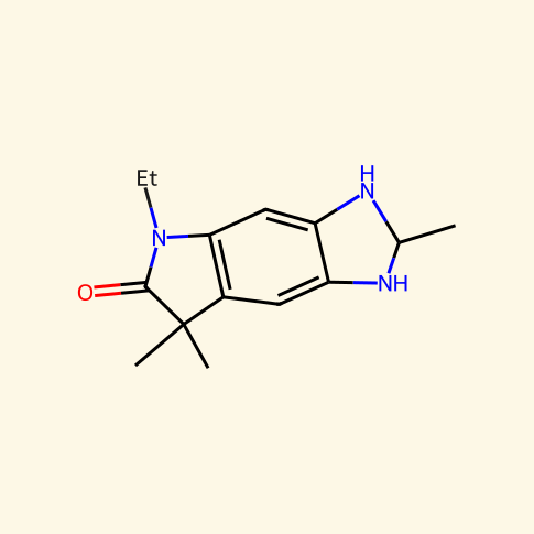 CCN1C(=O)C(C)(C)c2cc3c(cc21)NC(C)N3